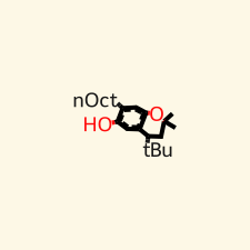 CCCCCCCCc1cc2c(cc1O)C(C(C)(C)C)CC(C)(C)O2